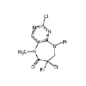 CCC1(CC)CN(C(C)C)c2nc(Cl)ncc2N(C)C1=O